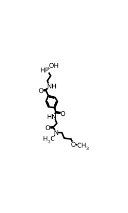 COCCCN(C)C(=O)CNC(=O)c1ccc(C(=O)NCCPO)cc1